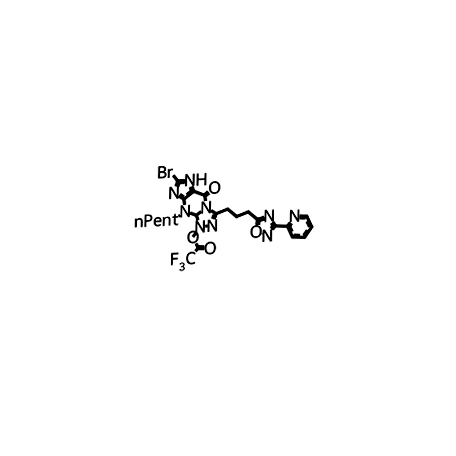 CCCCCN1c2nc(Br)[nH]c2C(=O)N2C(CCCc3nc(-c4ccccn4)no3)=NN(OC(=O)C(F)(F)F)C21